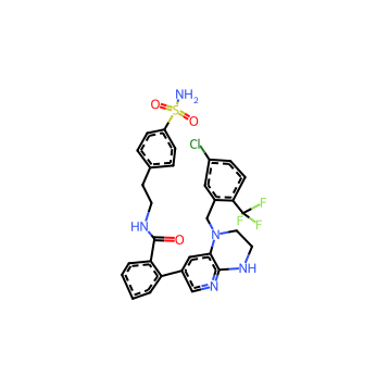 NS(=O)(=O)c1ccc(CCNC(=O)c2ccccc2-c2cnc3c(c2)N(Cc2cc(Cl)ccc2C(F)(F)F)CCN3)cc1